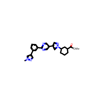 COC(=O)C1CCCC(n2cc(-c3cnc(-c4cccc(-c5cnn(C)c5)c4)nc3)cn2)C1